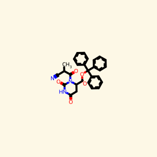 CC(C#N)C(=O)N1C(=O)NC(=O)CC1C(=O)OC(c1ccccc1)(c1ccccc1)c1ccccc1